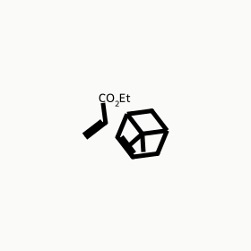 C=CC(=O)OCC.CC1(C)C2C=CCC1C2